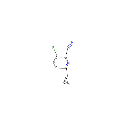 C=Cc1ccc(F)c(C#N)n1